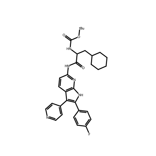 CC(C)(C)OC(=O)NC(CC1CCCCC1)C(=O)Nc1ccc2c(-c3ccncc3)c(-c3ccc(F)cc3)[nH]c2n1